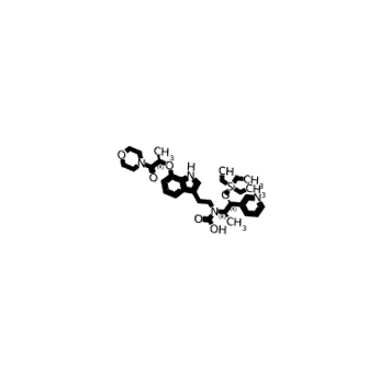 CC[Si](CC)(CC)O[C@H](c1cccnc1)[C@@H](C)N(CCc1c[nH]c2c(O[C@H](C)C(=O)N3CCOCC3)cccc12)C(=O)O